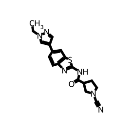 CCn1cc(-c2ccc3nc(NC(=O)C4CCN(C#N)C4)sc3c2)cn1